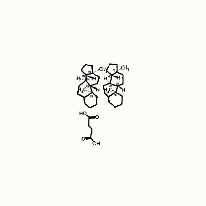 C[C@@]12CCC[C@H]1[C@@H]1CCC3CCCC[C@]3(C)[C@H]1CC2.C[C@@]12CCC[C@H]1[C@@H]1CCC3CCCC[C@]3(C)[C@H]1CC2.O=C(O)CCC(=O)O